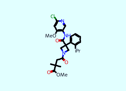 COC(=O)C(C)(C)CC(=O)N1CC(C(=O)Nc2cnc(Cl)cc2OC)(c2ccccc2C(C)C)C1